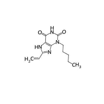 C=Cc1nc2c([nH]1)c(=O)[nH]c(=O)n2CCCCC